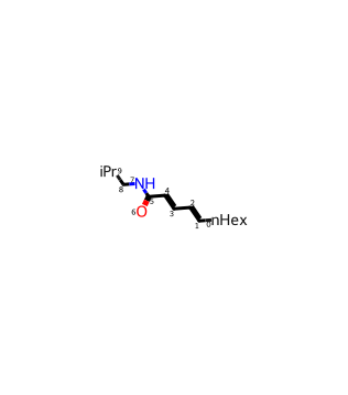 CCCCCCC=CC=CC(=O)NCC(C)C